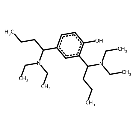 CCCC(c1ccc(O)c(C(CCC)N(CC)CC)c1)N(CC)CC